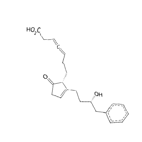 O=C(O)CC=C=CCC[C@H]1C(=O)CC=C1CC[C@H](O)Cc1ccccc1